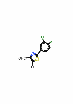 CCc1sc(-c2ccc(Cl)c(Cl)c2)nc1C=O